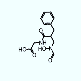 O=CN(O)CC(Cc1ccccc1)C(=O)NCC(=O)O